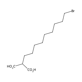 O=C(O)C(CCCCCCCCCBr)C(=O)O